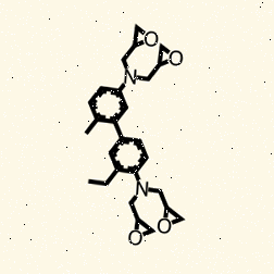 CCc1cc(-c2cc(N(CC3CO3)CC3CO3)ccc2C)ccc1N(CC1CO1)CC1CO1